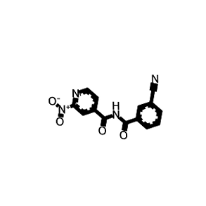 N#Cc1cccc(C(=O)NC(=O)c2ccnc([N+](=O)[O-])c2)c1